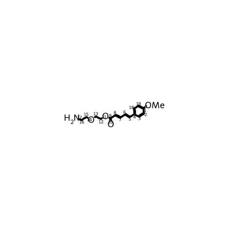 COc1ccc(/C=C/C=C/C(=O)OCCOCCN)cc1